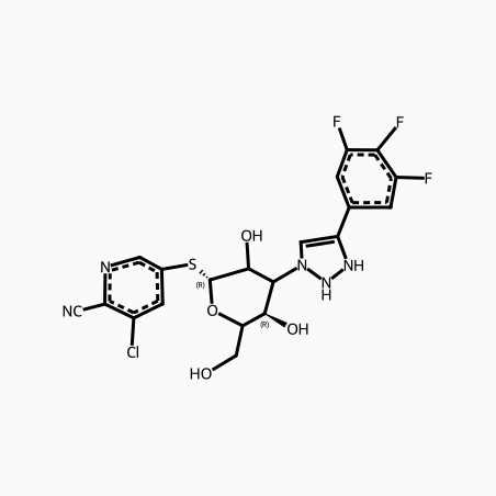 N#Cc1ncc(S[C@H]2OC(CO)[C@H](O)C(N3C=C(c4cc(F)c(F)c(F)c4)NN3)C2O)cc1Cl